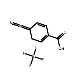 F[B-](F)(F)F.[N-]=[N+]=C1C=CC(C(=O)O)=CC1